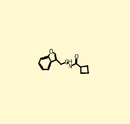 O=C(NOCc1coc2ccccc12)C1CCC1